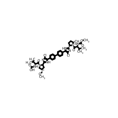 COC[C@H]1CC(c2nc(Cl)c(-c3ccc(-c4ccc(-c5[nH]c([C@H]6CC[C@H](C)N6C(=O)C(NC(=O)OC)C(C)C)nc5Cl)cc4)cc3)[nH]2)N(C(=O)[C@@H](NC(=O)O)C(C)C)C1